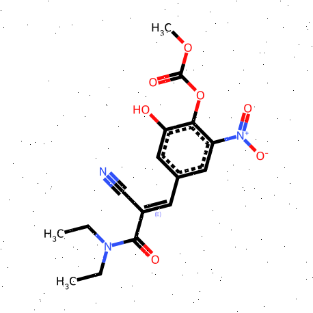 CCN(CC)C(=O)/C(C#N)=C/c1cc(O)c(OC(=O)OC)c([N+](=O)[O-])c1